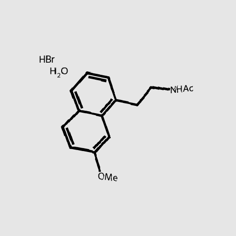 Br.COc1ccc2cccc(CCNC(C)=O)c2c1.O